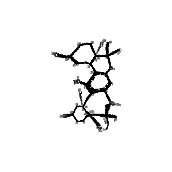 CC1(C)Oc2cc3c(c(O)c2C2CC(=O)CC[C@H]21)[C@@H]1CC(=O)CC[C@H]1C(C)(C)O3